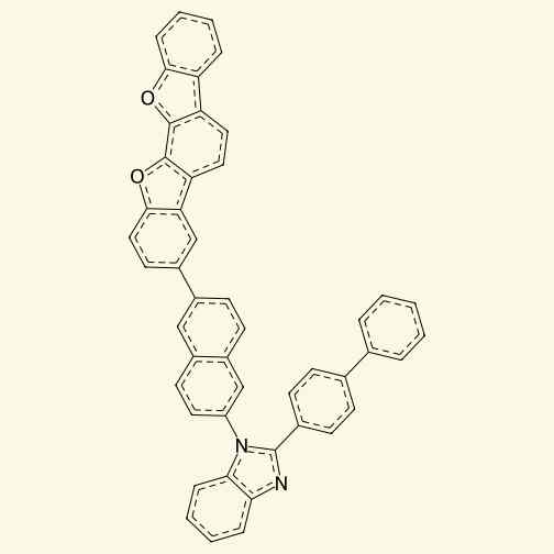 c1ccc(-c2ccc(-c3nc4ccccc4n3-c3ccc4cc(-c5ccc6oc7c(ccc8c9ccccc9oc87)c6c5)ccc4c3)cc2)cc1